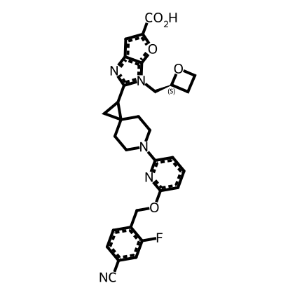 N#Cc1ccc(COc2cccc(N3CCC4(CC3)CC4c3nc4cc(C(=O)O)oc4n3C[C@@H]3CCO3)n2)c(F)c1